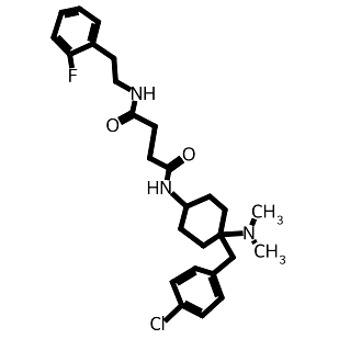 CN(C)C1(Cc2ccc(Cl)cc2)CCC(NC(=O)CCC(=O)NCCc2ccccc2F)CC1